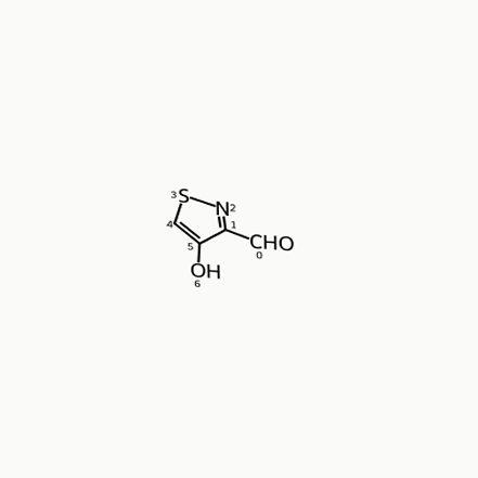 O=Cc1nscc1O